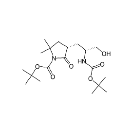 CC(C)(C)OC(=O)N[C@@H](CO)C[C@H]1CC(C)(C)N(C(=O)OC(C)(C)C)C1=O